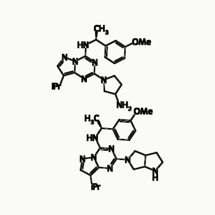 COc1cccc([C@H](C)Nc2nc(N3CC4CCNC4C3)nc3c(C(C)C)cnn23)c1.COc1cccc([C@H](C)Nc2nc(N3CCC(N)C3)nc3c(C(C)C)cnn23)c1